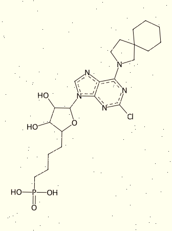 O=P(O)(O)CCCCC1OC(n2cnc3c(N4CCC5(CCCCC5)C4)nc(Cl)nc32)C(O)C1O